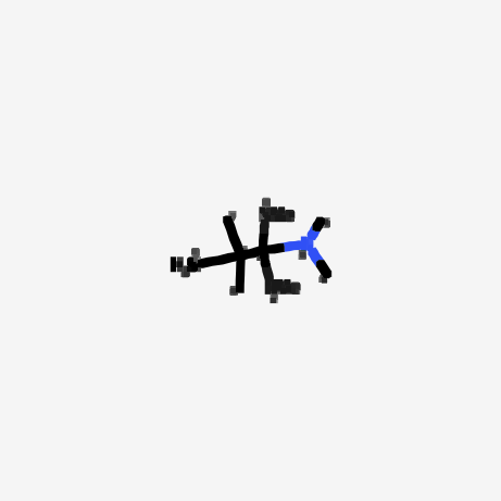 CNC(NC)(N(C)C)C(C)(C)[SiH3]